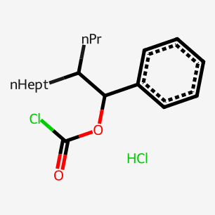 CCCCCCCC(CCC)C(OC(=O)Cl)c1ccccc1.Cl